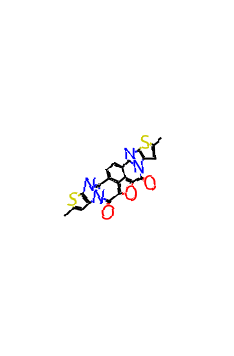 Cc1cc2c(nc3c4ccc5c6c(oc(c(=O)n23)c46)c(=O)n2c3cc(C)sc3nc52)s1